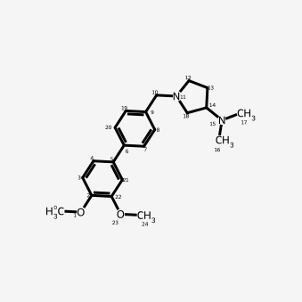 COc1ccc(-c2ccc(CN3CCC(N(C)C)C3)cc2)cc1OC